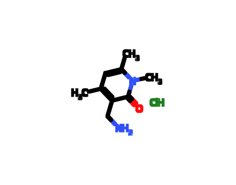 Cc1cc(C)n(C)c(=O)c1CN.Cl